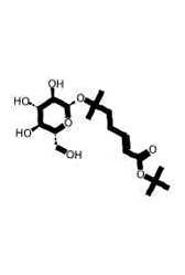 CC(C)(C)OC(=O)/C=C/CCC(C)(C)O[C@@H]1O[C@H](CO)[C@@H](O)[C@H](O)[C@H]1O